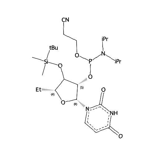 CC[C@H]1O[C@@H](n2ccc(=O)[nH]c2=O)[C@@H](OP(OCCC#N)N(C(C)C)C(C)C)C1O[Si](C)(C)C(C)(C)C